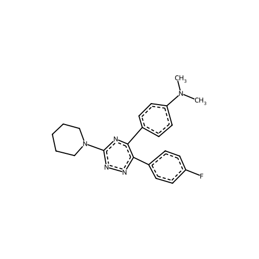 CN(C)c1ccc(-c2nc(N3CCCCC3)nnc2-c2ccc(F)cc2)cc1